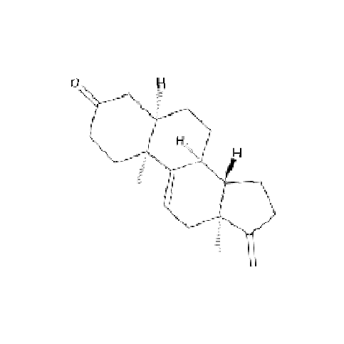 C=C1CC[C@H]2[C@@H]3CC[C@@H]4CC(=O)CC[C@]4(C)C3=CC[C@]12C